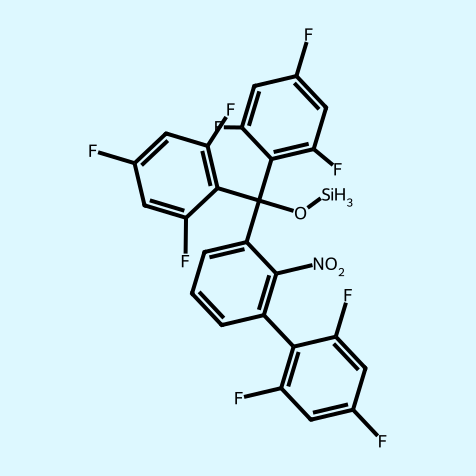 O=[N+]([O-])c1c(-c2c(F)cc(F)cc2F)cccc1C(O[SiH3])(c1c(F)cc(F)cc1F)c1c(F)cc(F)cc1F